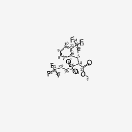 COC(=O)C(Cc1ccccc1C(F)(F)F)S(=O)(=O)CCC(F)(F)F